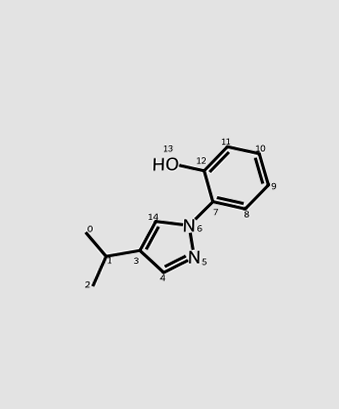 CC(C)c1cnn(-c2ccccc2O)c1